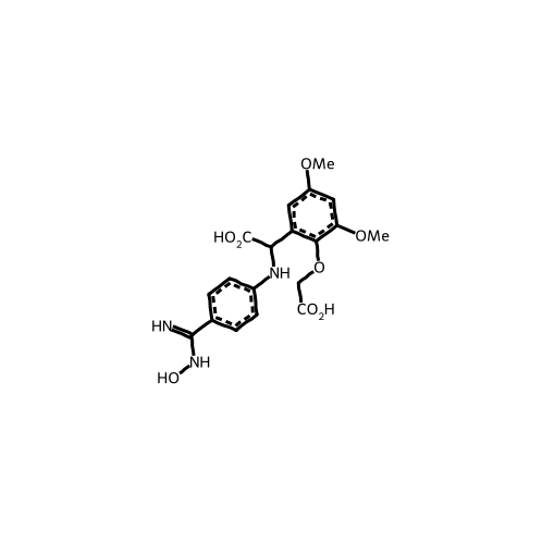 COc1cc(OC)c(OCC(=O)O)c(C(Nc2ccc(C(=N)NO)cc2)C(=O)O)c1